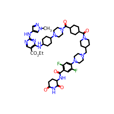 CCOC(=O)c1cnc(Nc2cnn(C)c2)nc1NC1CCC(N2CCN(C(=O)C3CCC(C(=O)N4CCC(CN5CCN(c6cc(F)c(C(=O)NC7CCC(=O)NC7=O)cc6F)CC5)CC4)CC3)CC2)CC1